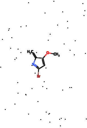 C=C1N=C(Br)C=C1OC